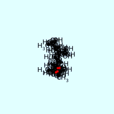 CC(=O)N[C@H]1[C@H](OC[C@H]2O[C@@H](O[C@H]3[C@H](O)[C@@H](O)[C@H](O)O[C@@H]3CO)[C@H](O)[C@@H](O[C@H]3O[C@H](CO)[C@H](O)[C@H](O[C@@H]4O[C@H](CO)[C@H](O)[C@H](O)[C@H]4NC(C)=O)[C@H]3O)[C@H]2O)O[C@H](CO)[C@@H](O[C@@H]2O[C@H](CO)[C@H](O[C@@H]3O[C@H](CO)[C@H](O)[C@H](O)[C@H]3NC(C)=O)[C@H](O[C@]3(C(=O)O)C[C@H](O)[C@@H](NC(C)=O)[C@H]([C@H](O)[C@H](O)CO)O3)[C@H]2O)[C@@H]1O